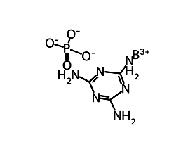 Nc1nc(N)nc(N)n1.O=P([O-])([O-])[O-].[B+3]